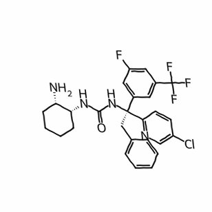 N[C@H]1CCCC[C@H]1NC(=O)N[C@@](Cc1ccccc1)(c1cc(F)cc(C(F)(F)F)c1)c1ccc(Cl)cn1